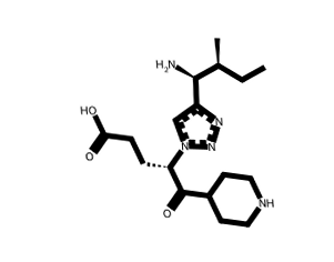 CC[C@H](C)[C@H](N)c1cn([C@@H](CCC(=O)O)C(=O)C2CCNCC2)nn1